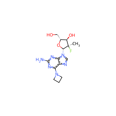 C[C@@]1(F)[C@H](O)[C@@H](CO)O[C@H]1n1cnc2c(N3CCC3)nc(N)nc21